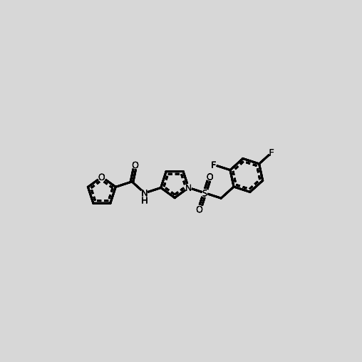 O=C(Nc1ccn(S(=O)(=O)Cc2ccc(F)cc2F)c1)c1ccco1